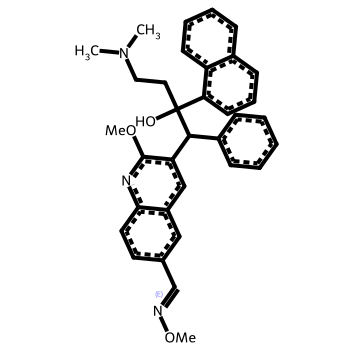 CO/N=C/c1ccc2nc(OC)c(C(c3ccccc3)C(O)(CCN(C)C)c3cccc4ccccc34)cc2c1